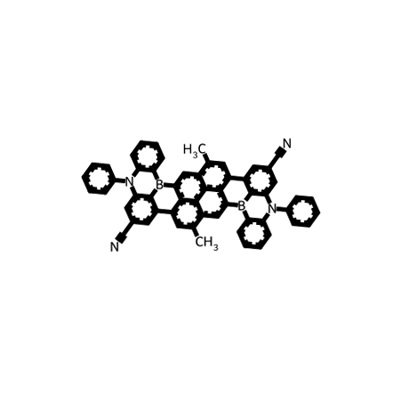 Cc1cc2c3c(cc4c(C)cc5c6c(cc1c3c46)B1c3ccccc3N(c3ccccc3)c3cc(C#N)cc-5c31)B1c3ccccc3N(c3ccccc3)c3cc(C#N)cc-2c31